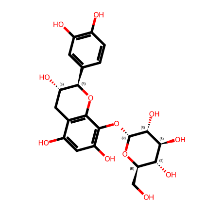 OC[C@H]1O[C@H](Oc2c(O)cc(O)c3c2O[C@H](c2ccc(O)c(O)c2)[C@@H](O)C3)[C@H](O)[C@@H](O)[C@@H]1O